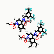 CCOC(=O)N1c2cc(C)c(C)cc2[C@@H](N(Cc2cc(C(F)(F)F)cc(C(F)(F)F)c2)C(=O)OC)C[C@H]1C.CCOC(=O)N1c2cc(CC)c(CC)cc2C(N(Cc2cc(C(F)(F)F)cc(C(F)(F)F)c2)C(=O)OC)CC1C